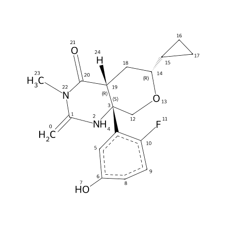 C=C1N[C@@]2(c3cc(O)ccc3F)CO[C@@H](C3CC3)C[C@H]2C(=O)N1C